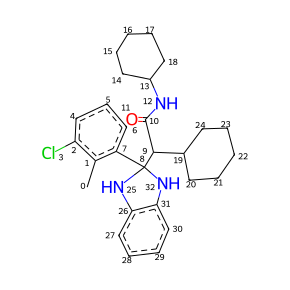 Cc1c(Cl)cccc1C1(C(C(=O)NC2CCCCC2)C2CCCCC2)Nc2ccccc2N1